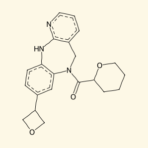 O=C(C1CCCCO1)N1Cc2cccnc2Nc2ccc(C3COC3)cc21